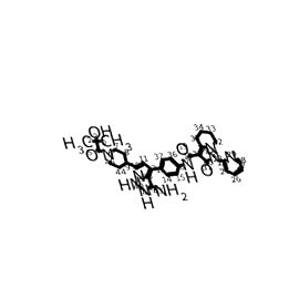 CC(C)(O)C(=O)N1CCC(c2cc(-c3ccc(NC(=O)c4c5n(n(-c6ccccn6)c4=O)CCCC5)cc3)c3n2NNC3N)CC1